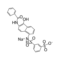 O=C(Nc1ccc2c(NS(=O)(=O)c3cccc(S(=O)(=O)[O-])c3)cccc2c1O)c1ccccc1.[Na+]